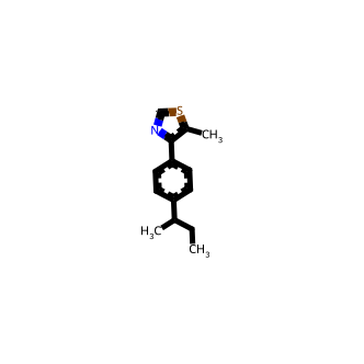 CCC(C)c1ccc(-c2n[c]sc2C)cc1